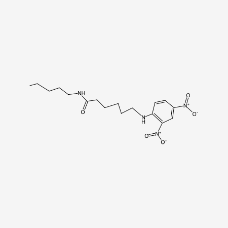 CCCCCNC(=O)CCCCCNc1ccc([N+](=O)[O-])cc1[N+](=O)[O-]